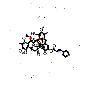 COc1cc2c(cc1OC(=O)/C=C/c1ccccc1)CCN[C@]21CS[C@@H]2c3c(OC(C)=O)c(C)c4c(c3[C@H](COC1=O)N1C2[C@@H]2N[C@@H](Cc3cc(C)c(OC)c(O)c32)[C@@H]1C#N)OCO4